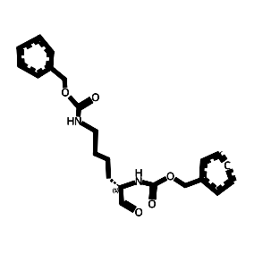 O=C[C@H](CCCCNC(=O)OCc1ccccc1)NC(=O)OCc1ccccc1